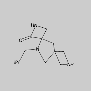 CC(C)CN1CC2(CNC2)CC12CNC2=O